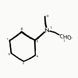 [CH2]N([C]=O)C1CCCCC1